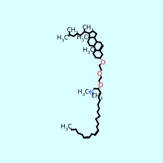 CCCCC/C=C\C/C=C\CCCCCCCCCCC(CN(C)C)OCCOCCO[C@H]1CC[C@@]2(C)C(=CCC3C4CCC(C(C)CCCC(C)C)[C@@]4(C)CCC32)C1